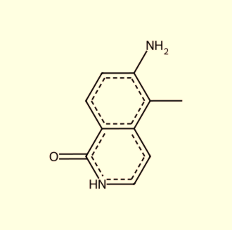 Cc1c(N)ccc2c(=O)[nH]ccc12